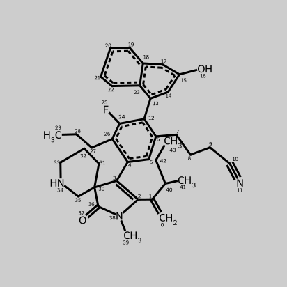 C=C(C1=C(c2cc(CCCC#N)c(-c3cc(O)cc4ccccc34)c(F)c2CCC)C2(CCCNC2)C(=O)N1C)C(C)CC